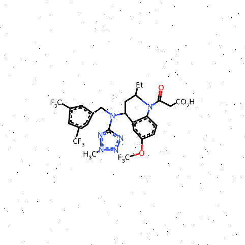 CCC1CC(N(Cc2cc(C(F)(F)F)cc(C(F)(F)F)c2)c2nnn(C)n2)c2cc(OC(F)(F)F)ccc2N1C(=O)CC(=O)O